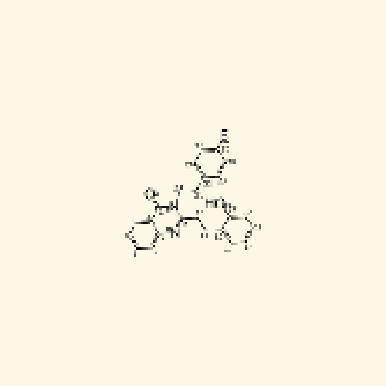 O=c1c2ccccc2nc(CCc2ccccc2O)n1CCc1ccc(F)cc1